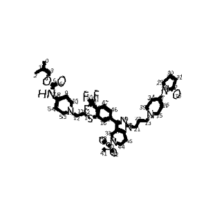 CC(C)COC(=O)NC1CCN(CCSc2cc(-c3nn(CCCN4CCC(N5CCCC5=O)CC4)c4c3CN(S(C)(=O)=O)CC4)ccc2C(F)(F)F)CC1